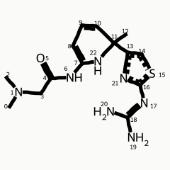 CN(C)CC(=O)NC1=CC=CC(C)(c2csc(N=C(N)N)n2)N1